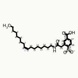 CCCCCCCC/C=C\CCCCCCCNC(=O)Cc1cc(C(=O)O)ccc1[N+](=O)[O-]